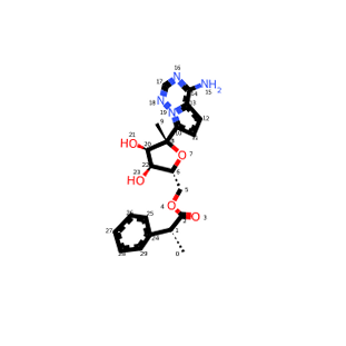 C[C@@H](C(=O)OC[C@H]1O[C@@](C)(c2ccc3c(N)ncnn23)[C@H](O)[C@@H]1O)c1ccccc1